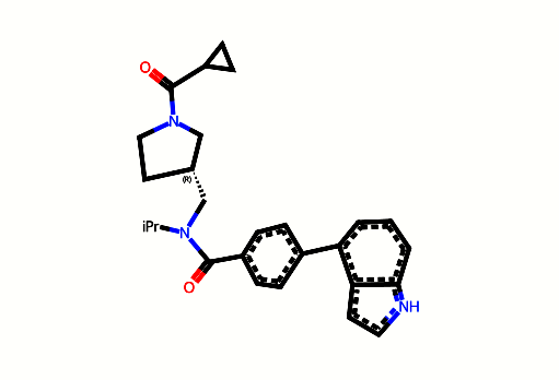 CC(C)N(C[C@@H]1CCN(C(=O)C2CC2)C1)C(=O)c1ccc(-c2cccc3[nH]ccc23)cc1